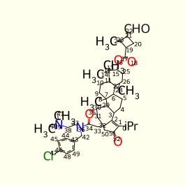 CC(C)C1=C2C3CCC4C(C)(CCC5C(C)(C)C(OC(=O)C6CC(C=O)C6C)CCC54C)C3CCC2(CC(=O)N(CCN(C)C)Cc2ccc(Cl)cc2)CC1=O